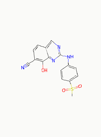 CS(=O)(=O)c1ccc(Nc2ncc3ccc(C#N)c(O)c3n2)cc1